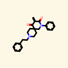 C=C1C(=O)N(c2ccccc2)CC2(CCN(CCc3ccccc3)CC2)C1=O